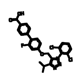 CC(C)c1nnn(-c2c(Cl)cccc2Cl)c1COc1ccc(-c2ccc(C(=O)O)cc2)c(F)c1